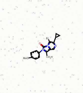 CCc1c(C2CC2)ncc2c(C(=O)O)n(-c3ccc(OC)cc3)c(=O)n12